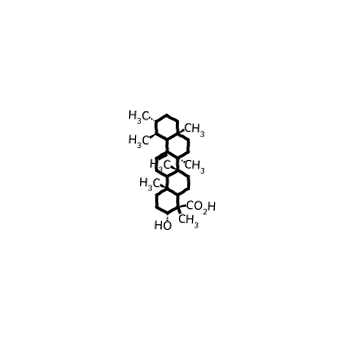 C[C@@H]1CC[C@]2(C)CC[C@]3(C)C(=CCC4[C@@]5(C)CC[C@@H](O)[C@](C)(C(=O)O)C5CC[C@]43C)C2[C@H]1C